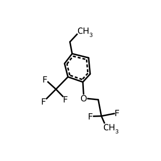 CCc1ccc(OCC(C)(F)F)c(C(F)(F)F)c1